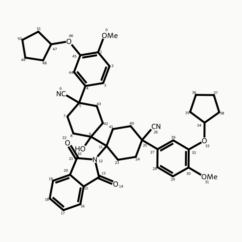 COc1ccc(C2(C#N)CCC(O)(C3(N4C(=O)c5ccccc5C4=O)CCC(C#N)(c4ccc(OC)c(OC5CCCC5)c4)CC3)CC2)cc1OC1CCCC1